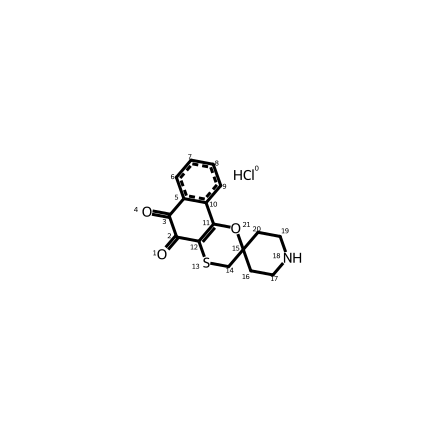 Cl.O=C1C(=O)c2ccccc2C2=C1SCC1(CCNCC1)O2